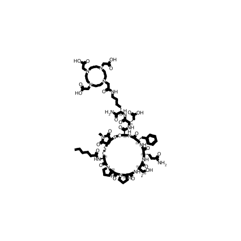 CCCCCC(=O)N[C@H]1CSC2=C(SC[C@@H](C(=O)N[C@@H](CC(=O)O)C(=O)N[C@@H](CCCCNC(=O)CN3CCN(CC(=O)O)CCN(CC(=O)O)CCN(CC(=O)O)CC3)C(N)=O)NC(=O)[C@H](Cc3ccccc3)NC(=O)[C@H](CCC(N)=O)NC(=O)[C@H]([C@@H](C)O)NC(=O)[C@@H]3CCCN3C(=O)[C@@H]3CCCN3C1=O)C(=O)N(C)C2=O